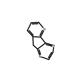 c1cnc2c(c1)Cc1nccnc1-2